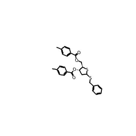 Cc1ccc(C(=O)OC[C@H]2SC(SCc3ccccc3)C[C@@H]2OC(=O)c2ccc(C)cc2)cc1